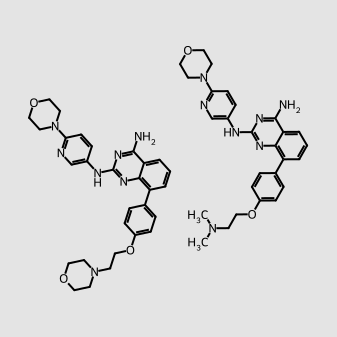 CN(C)CCOc1ccc(-c2cccc3c(N)nc(Nc4ccc(N5CCOCC5)nc4)nc23)cc1.Nc1nc(Nc2ccc(N3CCOCC3)nc2)nc2c(-c3ccc(OCCN4CCOCC4)cc3)cccc12